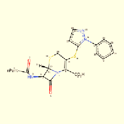 CCCCCC(=O)N[C@@H]1C(=O)N2C(C(=O)O)=C(Sc3ccnn3-c3ccccc3)CS[C@@H]12